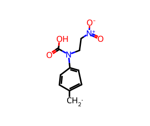 [CH2]c1ccc(N(CC[N+](=O)[O-])C(=O)O)cc1